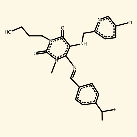 CC(F)c1ccc(/C=N/c2c(NCc3ccc(Cl)cn3)c(=O)n(CCCO)c(=O)n2C)cc1